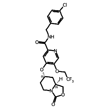 O=C(NCc1ccc(Cl)cc1)c1cc(O[C@H]2CCN3C(=O)OC[C@@H]3C2)c(OCC(F)(F)F)cn1